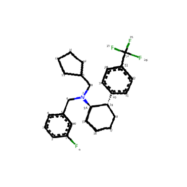 Fc1cccc(CN(CC2CCCC2)[C@@H]2CC[CH]C[C@H]2c2ccc(C(F)(F)F)cc2)c1